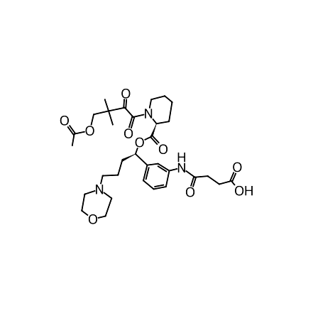 CC(=O)OCC(C)(C)C(=O)C(=O)N1CCCC[C@H]1C(=O)O[C@H](CCCN1CCOCC1)c1cccc(NC(=O)CCC(=O)O)c1